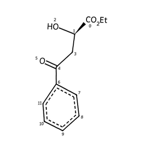 CCOC(=O)[C@H](O)CC(=O)c1ccccc1